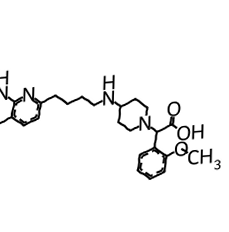 COc1ccccc1C(C(=O)O)N1CCC(NCCCCc2ccc3c(n2)NCCC3)CC1